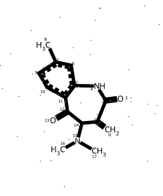 C=C1C(=O)Nc2cc(C)ccc2C(=O)C1N(C)C